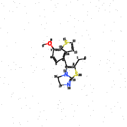 CCC1=C(c2ccc(OC)c3sccc23)N2CCN=C2S1